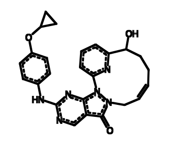 O=c1c2cnc(Nc3ccc(OC4CC4)cc3)nc2n2n1C/C=C\CCC(O)c1cccc-2n1